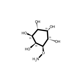 NO[C@H]1[C@@H](O)[C@@H](O)[C@H](O)[C@H](O)[C@@H]1O